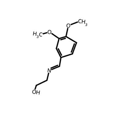 COc1ccc(C=NCCO)cc1OC